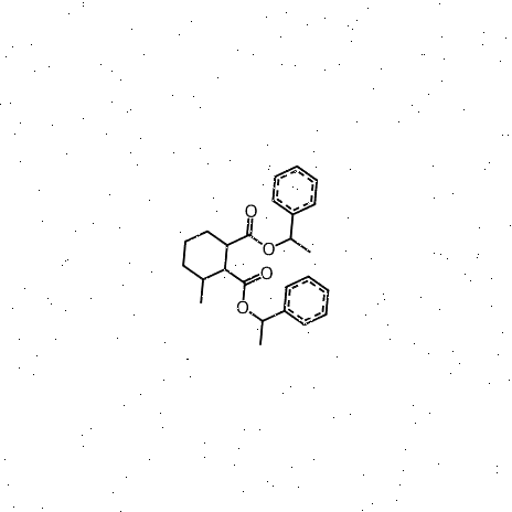 CC(OC(=O)C1CCCC(C)C1C(=O)OC(C)c1ccccc1)c1ccccc1